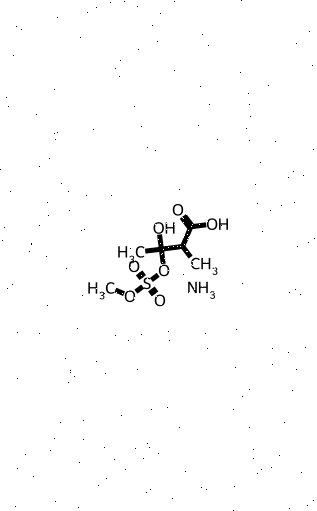 COS(=O)(=O)OC(C)(O)C(C)C(=O)O.N